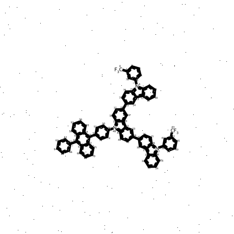 FC(F)(F)c1cccc(-n2c3ccccc3c3cc(-c4ccc5c(c4)c4cc(-c6ccc7c(c6)c6ccccc6n7-c6cccc(C(F)(F)F)c6)ccc4n5-c4ccc(-c5c6ccccc6c(-c6ccccc6)c6ccccc56)cc4)ccc32)c1